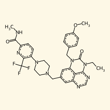 CCN1C(=O)N(Cc2ccc(OC)cc2)c2cc(CN3CCN(c4ccc(C(=O)NC)nc4C(F)(F)F)CC3)cc3ncnc1c23